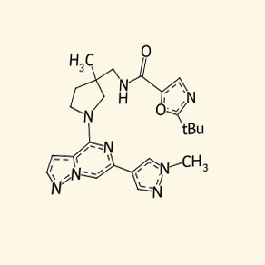 Cn1cc(-c2cn3nccc3c(N3CCC(C)(CNC(=O)c4cnc(C(C)(C)C)o4)C3)n2)cn1